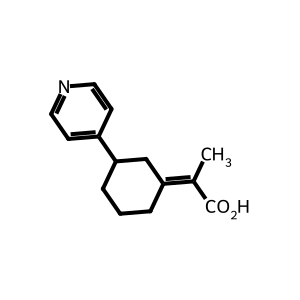 CC(C(=O)O)=C1CCCC(c2ccncc2)C1